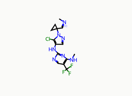 C/N=C\C1(n2ncc(Nc3ncc(C(F)(F)F)c(NC)n3)c2Cl)CC1